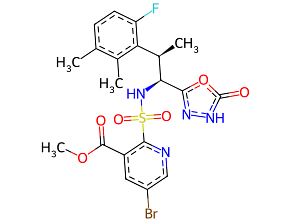 COC(=O)c1cc(Br)cnc1S(=O)(=O)N[C@H](c1n[nH]c(=O)o1)[C@H](C)c1c(F)ccc(C)c1C